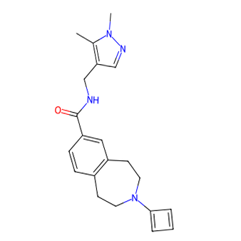 Cc1c(CNC(=O)c2ccc3c(c2)CCN(C2=CC=C2)CC3)cnn1C